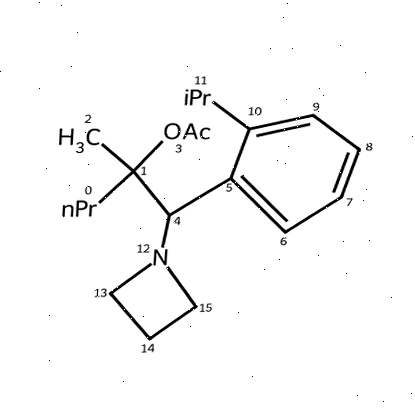 CCCC(C)(OC(C)=O)C(c1ccccc1C(C)C)N1CCC1